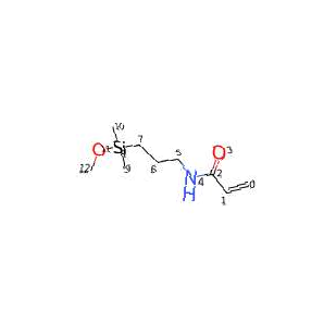 C=CC(=O)NCCC[Si](C)(C)OC